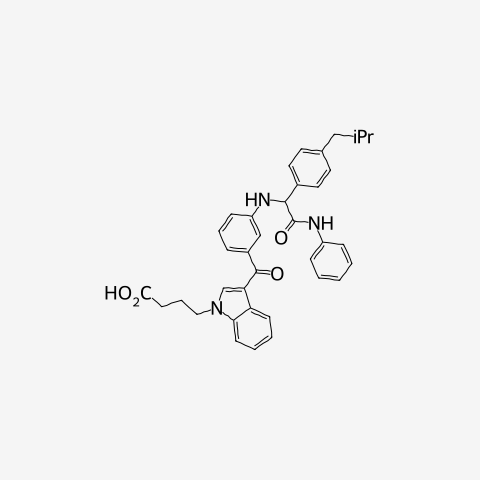 CC(C)Cc1ccc(C(Nc2cccc(C(=O)c3cn(CCCC(=O)O)c4ccccc34)c2)C(=O)Nc2ccccc2)cc1